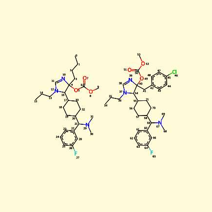 CCCCC1(OC(=O)OC)N=CN(CCC)C1C1CCC(C(c2cccc(F)c2)N(C)C)CC1.CCCN1C=NC(Cc2ccc(Cl)cc2)(OC(=O)OC)C1C1CCC(C(c2cccc(F)c2)N(C)C)CC1